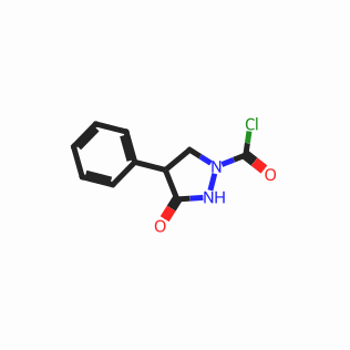 O=C1NN(C(=O)Cl)CC1c1ccccc1